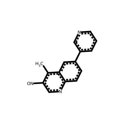 Cc1c(N=O)cnc2ccc(-c3cccnc3)cc12